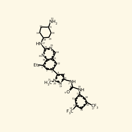 CCc1cc(-c2cc(NC(=O)Nc3cc(C(F)(F)F)cc(C(F)(F)F)c3)nn2C)cc2cnc(NC3CCC(N)CC3)nc12